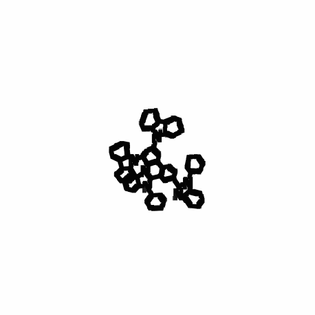 c1ccc(-n2c(-c3ccc(-c4cc(-n5c6ccccc6c6ccccc65)cc(-n5c6ccccc6c6ccccc65)c4)c(-c4nc5ccccc5n4-c4ccccc4)c3)nc3ccccc32)cc1